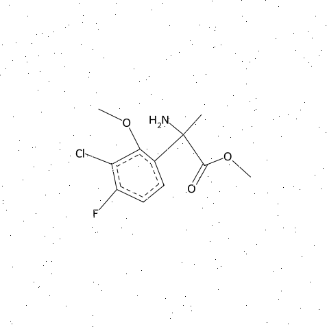 COC(=O)C(C)(N)c1ccc(F)c(Cl)c1OC